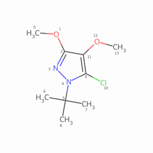 COc1nn(C(C)(C)C)c(Cl)c1OC